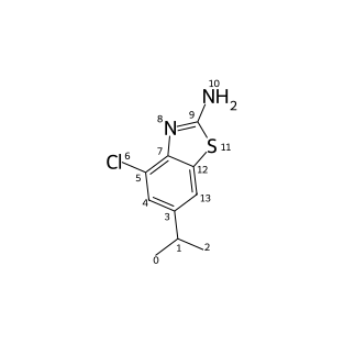 CC(C)c1cc(Cl)c2nc(N)sc2c1